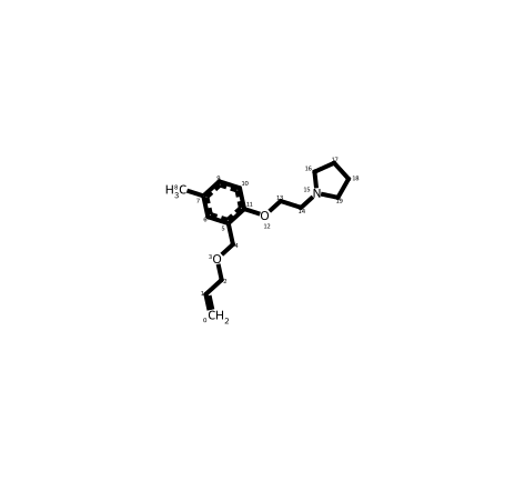 C=CCOCc1cc(C)ccc1OCCN1CCCC1